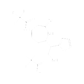 N=C1CCCCC(C(CN)c2ccco2)N1.O=C(O)C(F)(F)F.O=C(O)C(F)(F)F